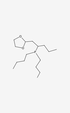 CCCCP(CCCC)C(CCC)CC1OCCO1